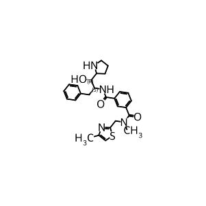 Cc1csc(CN(C)C(=O)c2cccc(C(=O)N[C@@H](Cc3ccccc3)[C@H](O)C3CCCN3)c2)n1